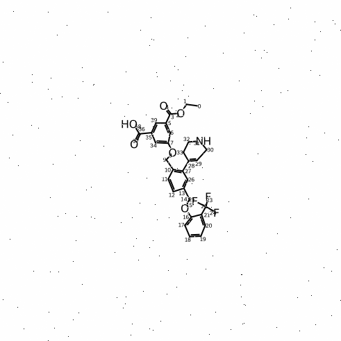 CCOC(=O)c1cc(OCc2ccc(COc3ccccc3C(F)(F)F)cc2C2=CCNCC2)cc(C(=O)O)c1